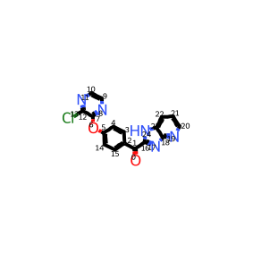 O=C(c1ccc(Oc2nccnc2Cl)cc1)c1nc2ncccc2[nH]1